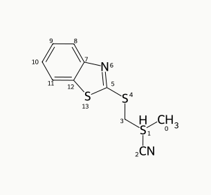 C[SH](C#N)CSc1nc2ccccc2s1